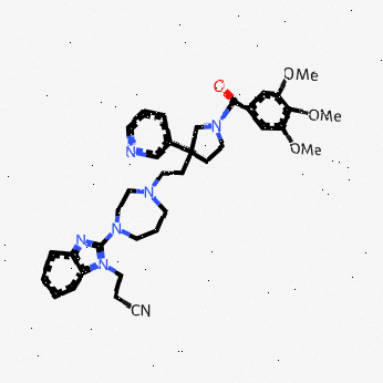 COc1cc(C(=O)N2CCC(CCN3CCCN(c4nc5ccccc5n4CCC#N)CC3)(c3cccnc3)C2)cc(OC)c1OC